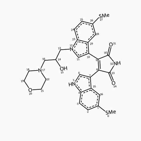 CSc1ccc2[nH]cc(C3=C(c4cn(CC(O)CN5CCOCC5)c5ccc(SC)cc45)C(=O)NC3=O)c2c1